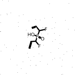 C=CC(F)P(=O)(O)C(F)C=C